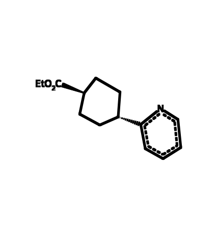 CCOC(=O)[C@H]1CC[C@H](c2ccccn2)CC1